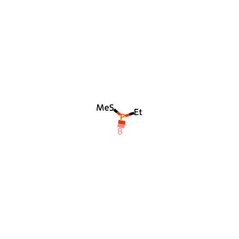 B#P(CC)SC